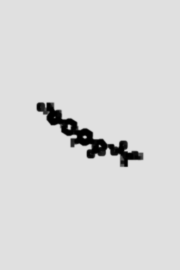 CCCCNC(=O)OC[C@H]1CN(c2ccc(N3CCN(c4ccc([N+](=O)[O-])s4)CC3)c(F)c2)C(=O)O1